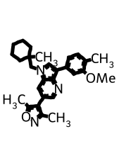 COc1cc(-c2cn(CC3(C)CCCCC3)c3cc(-c4c(C)noc4C)cnc23)ccc1C